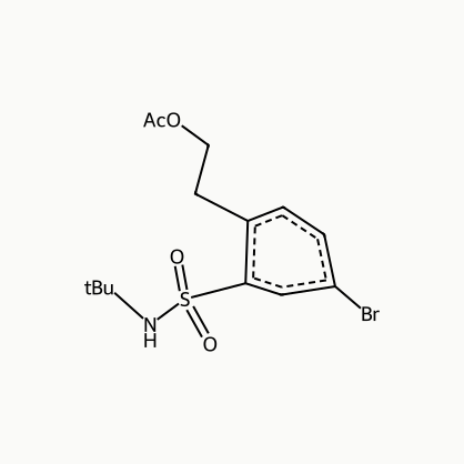 CC(=O)OCCc1ccc(Br)cc1S(=O)(=O)NC(C)(C)C